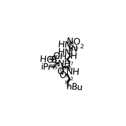 CCCCC=CC(=O)N[C@@H](CCCNC(=N)N[N+](=O)[O-])C(=O)N[C@@H](CC(C)C)B(O)O